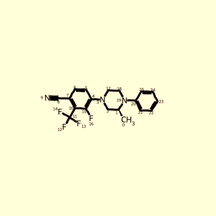 C[C@H]1CN(c2ccc(C#N)c(C(F)(F)F)c2F)CCN1c1cc[c]cc1